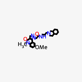 COc1ccc2c(c1)c1c(cnn1CC(=O)NCCCN1CCC3CCCCC3C1)c(=O)n2C